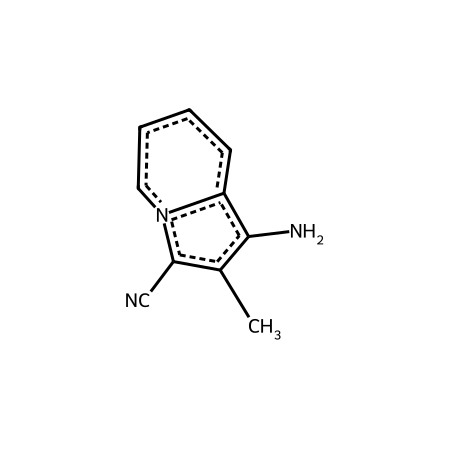 Cc1c(N)c2ccccn2c1C#N